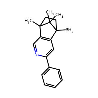 BC12CCC(C)(c3cnc(-c4ccccc4)cc31)C2(C)C